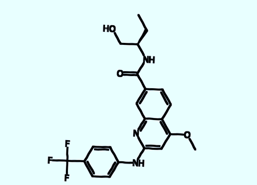 CC[C@H](CO)NC(=O)c1ccc2c(OC)cc(Nc3ccc(C(F)(F)F)cc3)nc2c1